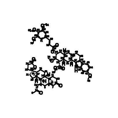 CC(=O)S[C@@H]1CC2=CC(=O)CC[C@]2(C)[C@H]2CC[C@@]3(C)[C@@H](CC[C@@]34CCC(=O)O4)[C@H]12.COC(=O)[C@H]1[C@H]2C[C@@H]3c4[nH]c5cc(OC)ccc5c4CCN3C[C@H]2C[C@@H](OC(=O)/C=C/c2cc(OC)c(OC)c(OC)c2)[C@@H]1OC